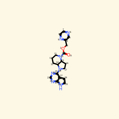 O=C(OCc1cnccn1)N1CCCC2C1CCN2c1ncnc2[nH]ccc12